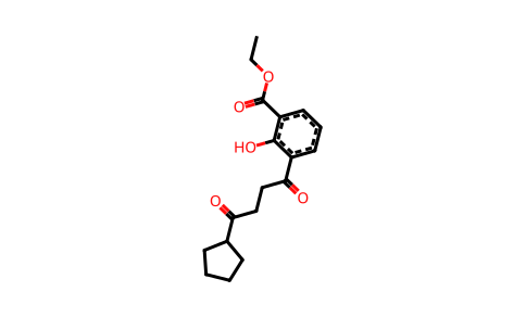 CCOC(=O)c1cccc(C(=O)CCC(=O)C2CCCC2)c1O